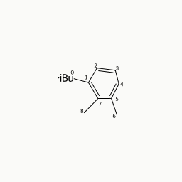 CC[C](C)c1cccc(C)c1C